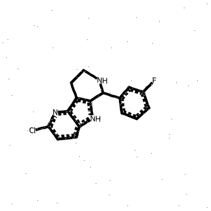 Fc1cccc(C2NCCc3c2[nH]c2ccc(Cl)nc32)c1